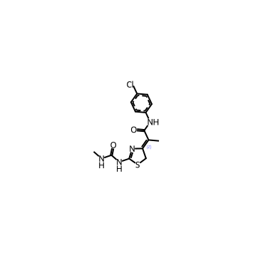 CNC(=O)NC1=N/C(=C(/C)C(=O)Nc2ccc(Cl)cc2)CS1